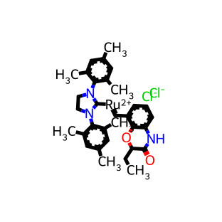 CCC1Oc2c(/[CH]=[Ru+2]/[CH]3N(c4c(C)cc(C)cc4C)CCN3c3c(C)cc(C)cc3C)cccc2NC1=O.[Cl-].[Cl-]